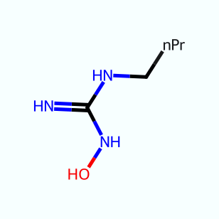 CCCCNC(=N)NO